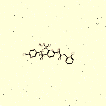 NS(=O)(=O)c1cc(NC(=O)Cc2ccccc2Cl)ccc1C(=O)Nc1ccc(Cl)nc1